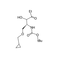 CCC(=O)C(O)[C@H](COCC1CC1)NC(=O)OC(C)(C)C